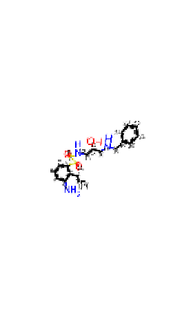 CC(C)Cc1c(N)cccc1S(=O)(=O)NC[C@H](O)CNCc1ccccc1